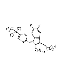 CC1=C(CC(=O)O)c2cc(F)c(F)cc2C1=Cc1ccc(S(C)(=O)=O)cc1